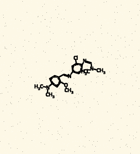 COc1cc(N(C)C)ccc1/C=N/c1cc(Cl)c(/N=C\N(C)C)c(Cl)c1